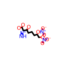 N=[N+]=C(C(=O)[O-])C(=O)CCCC(CO[N+](=O)[O-])O[N+](=O)[O-]